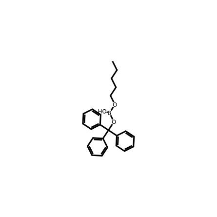 CCCCCOB(O)OC(c1ccccc1)(c1ccccc1)c1ccccc1